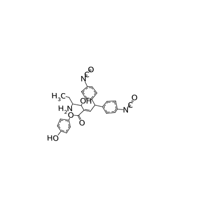 CCC(N)C(O)C(=CC(c1ccc(N=C=O)cc1)c1ccc(N=C=O)cc1)C(=O)Oc1ccc(O)cc1